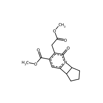 COC(=O)Cc1c(C(=O)OC)cc2n(c1=O)C1CCCC21